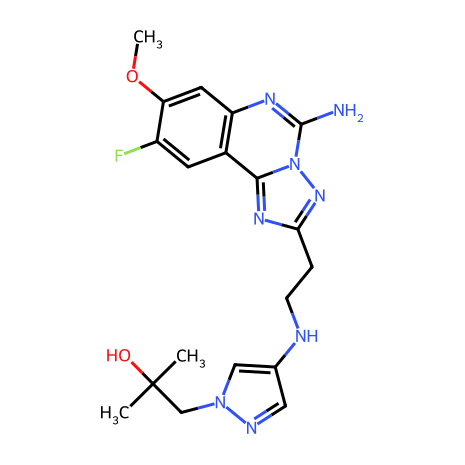 COc1cc2nc(N)n3nc(CCNc4cnn(CC(C)(C)O)c4)nc3c2cc1F